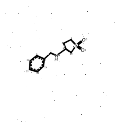 O=S1(=O)CCC(NCc2ccccc2)C1